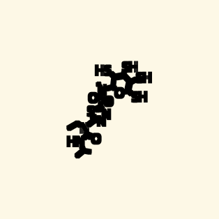 CCN(C(=O)NC(C)C)c1nnc(S(=O)(=O)N(C)C2OC(S)=C(S)C(S)=C2S)s1